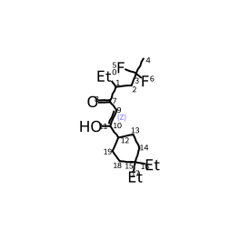 CCC(CC(C)(F)F)C(=O)/C=C(\O)C1CCC(CC)(CC)CC1